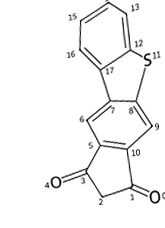 O=C1CC(=O)c2cc3c(cc21)sc1ccccc13